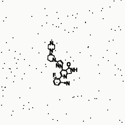 CN1CCN([C@H]2CCCN(c3ccn(-c4cc(-c5c(F)cccc5C#N)nc5c4C(=O)NC5)n3)C2)CC1